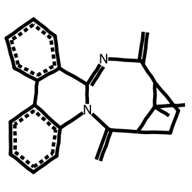 C=C1/N=C2/c3ccccc3-c3ccccc3N2C(=C)C2CCC1C2(C)C